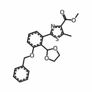 COC(=O)c1nc(-c2cccc(OCc3ccccc3)c2C2OCCO2)sc1C